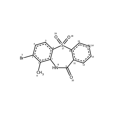 Cc1c(Br)ccc2c1NC(=O)c1ccncc1S2(=O)=O